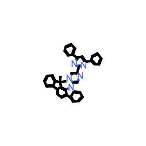 CC1(C)c2ccccc2-c2ccc3c4ccccc4n(-c4cnc(-c5nc(-c6ccccc6)cc(-c6ccccc6)n5)cn4)c3c21